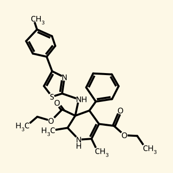 CCOC(=O)C1=C(C)NC(C)C(Nc2nc(-c3ccc(C)cc3)cs2)(C(=O)OCC)C1c1ccccc1